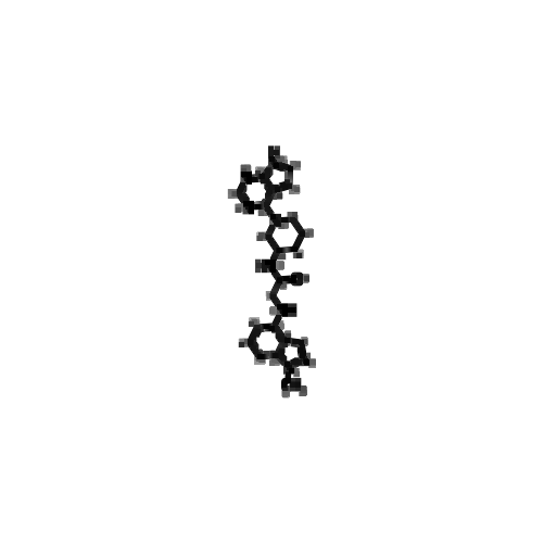 Cn1ncc2c(NCC(=O)NC3CCCN(c4ncnc5[nH]ccc45)C3)cccc21